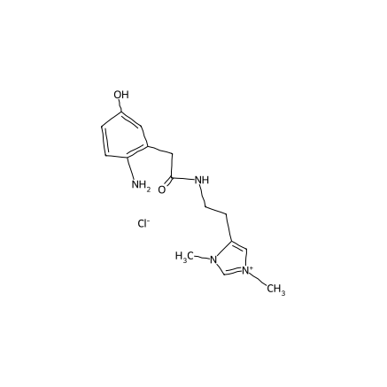 Cn1c[n+](C)cc1CCNC(=O)Cc1cc(O)ccc1N.[Cl-]